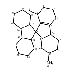 CC1CCCC2=C1C1(C3CC(N)CCC23)C2CCCCC2C2CCCCC21